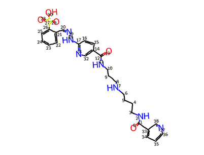 O=C(NCCCCNCCCNC(=O)c1ccc(N/N=C\c2ccccc2S(=O)(=O)O)nc1)c1cccnc1